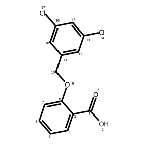 O=C(O)c1ccccc1OCc1cc(Cl)cc(Cl)c1